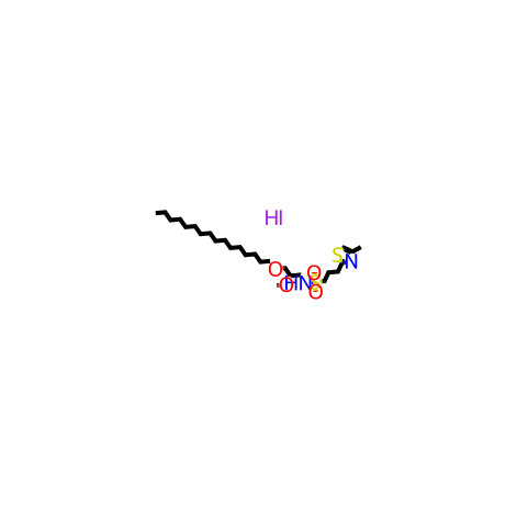 CCCCCCCCCCCCCCCCOCC(CNS(=O)(=O)CCCc1nc(C)cs1)OC.I